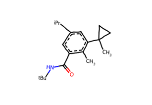 Cc1c(C(=O)NC(C)(C)C)cc(C(C)C)cc1C1(C)CC1